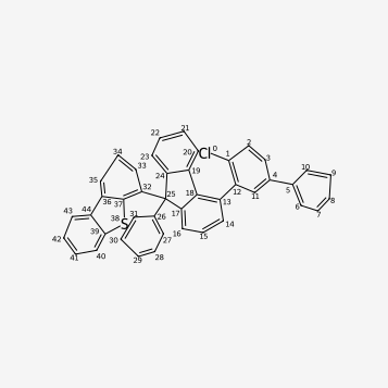 Clc1ccc(-c2ccccc2)cc1-c1cccc2c1-c1ccccc1C2(c1ccccc1)c1cccc2c1sc1ccccc12